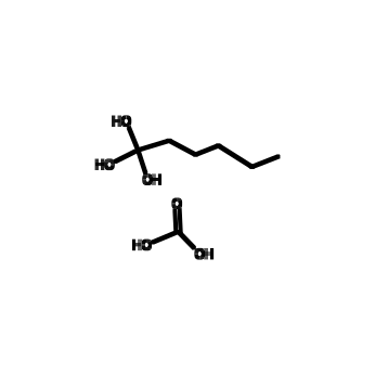 CCCCCC(O)(O)O.O=C(O)O